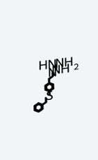 N=C(N)NN=CCc1ccc(SCCc2ccccc2)cc1